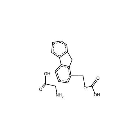 NCC(=O)O.O=C(O)OCc1cccc2c1Cc1ccccc1-2